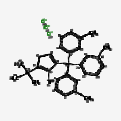 Cc1cccc(C(C2=CCC([Si](C)(C)C)=[C]2[Ti+3])(c2cccc(C)c2)c2cccc(C)c2)c1.[Cl-].[Cl-].[Cl-]